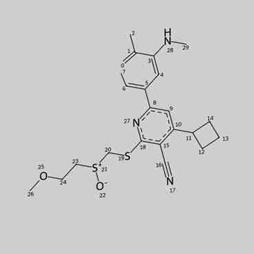 C=C(C)/C(=C\C(=C/C)c1cc(C2CCC2)c(C#N)c(SC[S+]([O-])CCOC)n1)NC